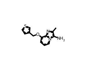 Cc1nc2c(OCc3ccsc3)cccn2c1N